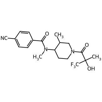 CC1CN(C(=O)C(C)(O)C(F)(F)F)CCC1N(C)C(=O)c1ccc(C#N)cc1